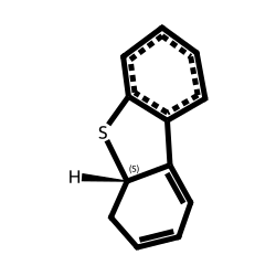 C1=CC[C@@H]2Sc3ccccc3C2=C1